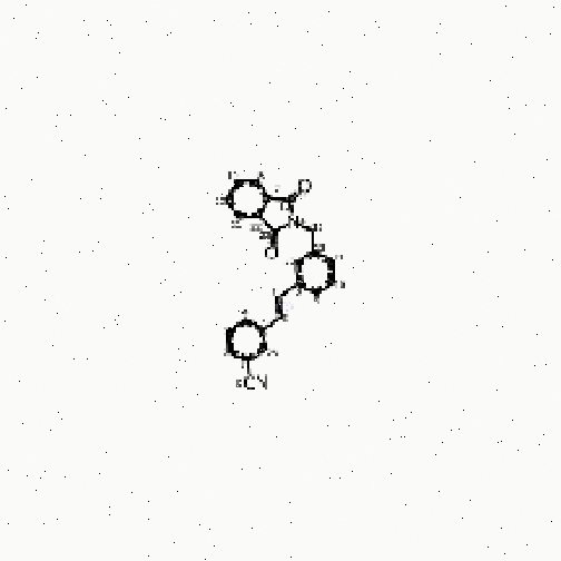 N#Cc1cccc(/C=C/c2cccc(CN3C(=O)c4ccccc4C3=O)c2)c1